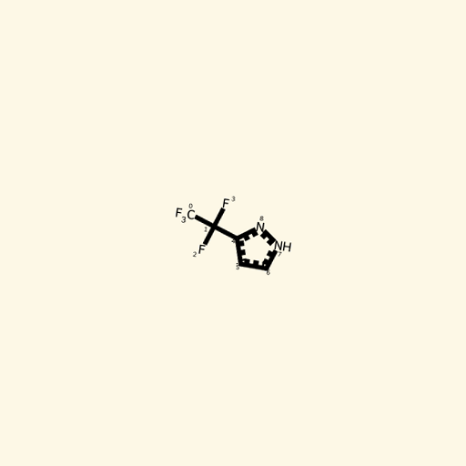 FC(F)(F)C(F)(F)c1[c]c[nH]n1